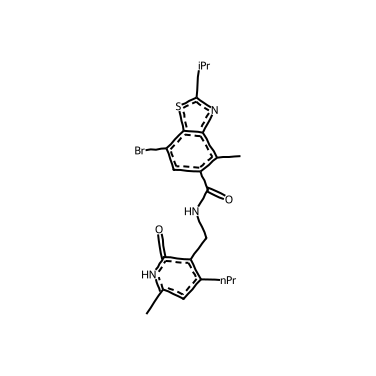 CCCc1cc(C)[nH]c(=O)c1CNC(=O)c1cc(Br)c2sc(C(C)C)nc2c1C